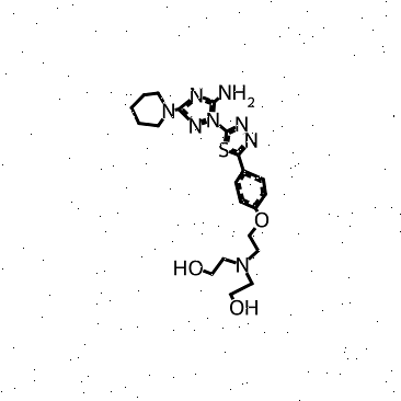 Nc1nc(N2CCCCC2)nn1-c1nnc(-c2ccc(OCCN(CCO)CCO)cc2)s1